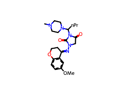 CCCC(N1CCN(C)CC1)N1C(=O)CN(/N=C2\CCOc3ccc(OC)cc32)C1=O